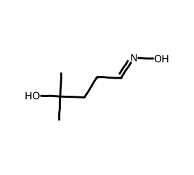 CC(C)(O)CCC=NO